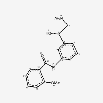 CNCC(O)c1cccc(NC(=O)c2ccccc2OC)c1